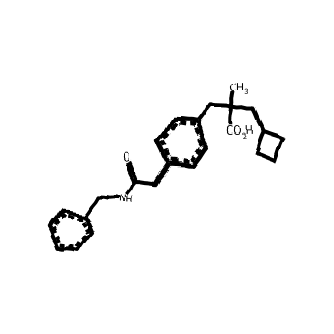 CC(Cc1ccc(CC(=O)NCc2ccccc2)cc1)(CC1CCC1)C(=O)O